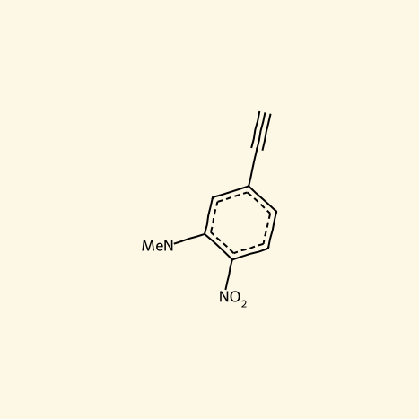 C#Cc1ccc([N+](=O)[O-])c(NC)c1